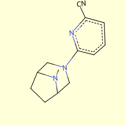 CN1C2CCC1CN(c1cccc(C#N)n1)C2